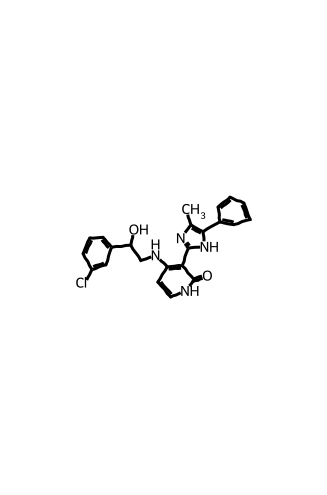 Cc1nc(-c2c(NCC(O)c3cccc(Cl)c3)cc[nH]c2=O)[nH]c1-c1ccccc1